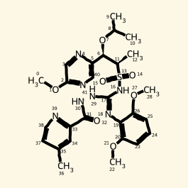 COc1cnc([C@@H](OC(C)C)[C@@H](C)S(=O)(=O)N/C(=N\c2c(OC)cccc2OC)NNC(=O)c2cc(C)ccn2)cn1